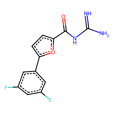 N=C(N)NC(=O)c1ccc(-c2cc(F)cc(F)c2)o1